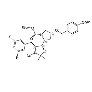 COc1ccc(CO[C@@H]2C[C@H]([C@H]3OC(C)(C)N(C(C)=O)[C@H]3Cc3cc(F)cc(F)c3)N(C(=O)OC(C)(C)C)C2)cc1